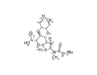 C=CCO[C@@H]1[C@H]2N=C(N(C)C(=O)OC(C)(C)C)S[C@H]2O[C@H](C(O)C(F)(F)F)[C@H]1OCC=C